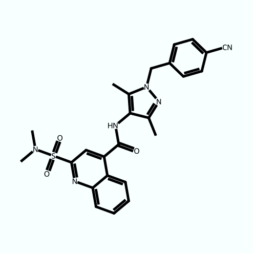 Cc1nn(Cc2ccc(C#N)cc2)c(C)c1NC(=O)c1cc(S(=O)(=O)N(C)C)nc2ccccc12